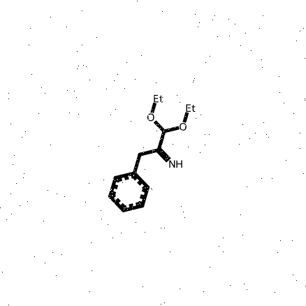 CCOC(OCC)C(=N)Cc1ccccc1